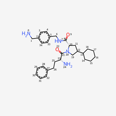 NCc1ccc(CNC(=O)[C@@H]2CC(C3CCCCC3)CN2C(=O)[C@H](N)CCc2ccccc2)cc1